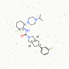 CC(C)N1CCN([C@H]2CCCC(F)(F)[C@@H]2NC(=O)N2C[C@H]3C[C@@H](c4cccc(F)c4)C[C@H]3C2)CC1